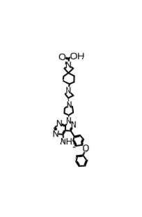 Nc1ncnc2c1c(-c1ccc(Oc3ccccc3)cc1)nn2C1CCN(C2CN(C3CCC4(CC3)CN(C(=O)O)C4)C2)CC1